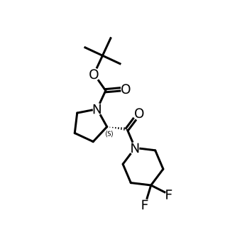 CC(C)(C)OC(=O)N1CCC[C@H]1C(=O)N1CCC(F)(F)CC1